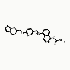 NC(=O)Oc1nccc2c(NCc3ccc(OCC4CCn5ccnc5C4)nc3)cccc12